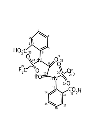 O=C(O)c1ccccc1N(C(=O)C(=O)N(c1ccccc1C(=O)O)S(=O)(=O)C(F)(F)F)S(=O)(=O)C(F)(F)F